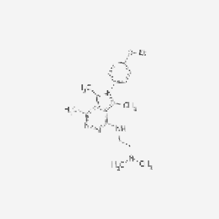 CCOc1ccc(-n2c(C)c3c(C)nnc(NCCN(C)C)c3c2C)cc1